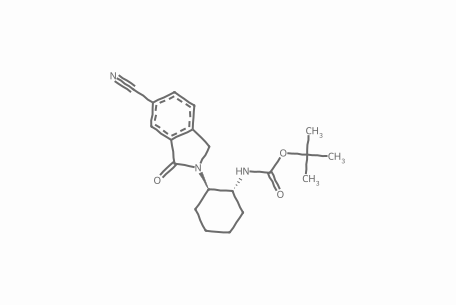 CC(C)(C)OC(=O)N[C@@H]1CCCC[C@H]1N1Cc2ccc(C#N)cc2C1=O